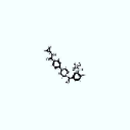 Cc1ccc(C(=O)N2CCC(c3ccc(C(=O)NC4CC4)cc3)CC2)cc1NS(C)(=O)=O